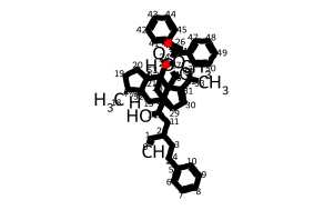 C=CC(CCc1ccccc1)CC(O)C12C[C@@H]3[C@H](C)CC[C@H]3C3(C4OCCO4)CC1C=C(C(C)C)C23C(=O)OC(c1ccccc1)c1ccccc1